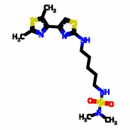 Cc1nc(-c2csc(NCCCCCNS(=O)(=O)N(C)C)n2)c(C)s1